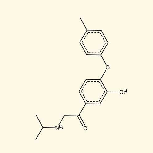 Cc1ccc(Oc2ccc(C(=O)CNC(C)C)cc2O)cc1